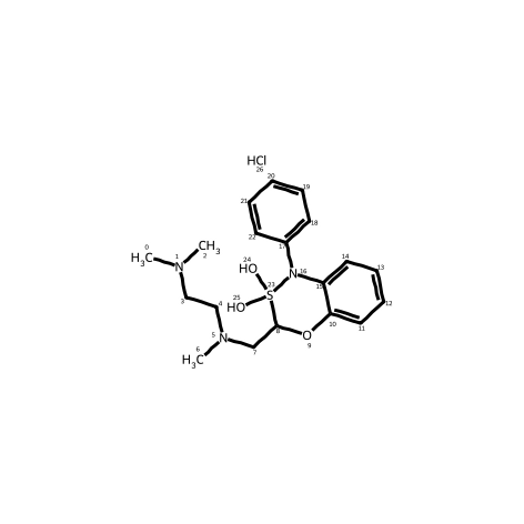 CN(C)CCN(C)CC1Oc2ccccc2N(c2ccccc2)S1(O)O.Cl